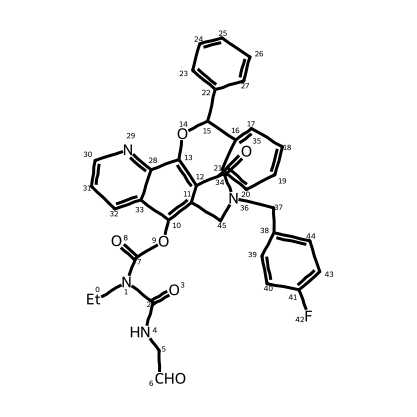 CCN(C(=O)NCC=O)C(=O)Oc1c2c(c(OC(c3ccccc3)c3ccccc3)c3ncccc13)C(=O)N(Cc1ccc(F)cc1)C2